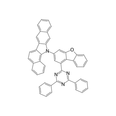 c1ccc(-c2nc(-c3ccccc3)nc(-c3cc(-n4c5cc6ccccc6cc5c5ccc6ccccc6c54)cc4oc5ccccc5c34)n2)cc1